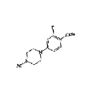 COc1ccc(N2CCN(C(C)=O)CC2)cc1F